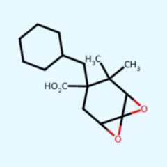 CC1(C)C2OC23OC3CC1(CC1CCCCC1)C(=O)O